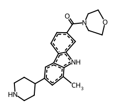 Cc1cc(C2CCNCC2)cc2c1[nH]c1cc(C(=O)N3CCOCC3)ccc12